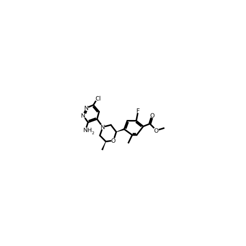 COC(=O)c1cc(C)c([C@@H]2CN(c3cc(Cl)nnc3N)C[C@H](C)O2)cc1F